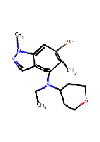 CCN(c1c(C)c(Br)cc2c1cnn2C)C1CCOCC1